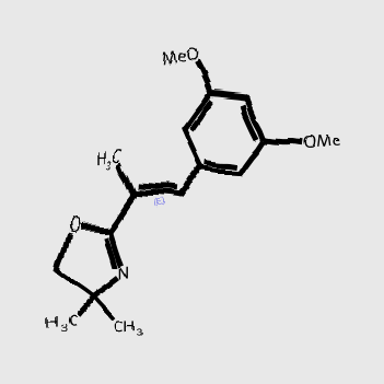 COc1cc(/C=C(\C)C2=NC(C)(C)CO2)cc(OC)c1